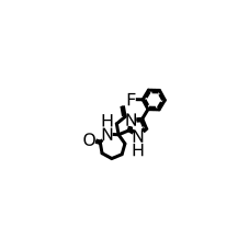 C=CCC1(c2nc(-c3ccccc3F)c[nH]2)CCCCC(=O)N1